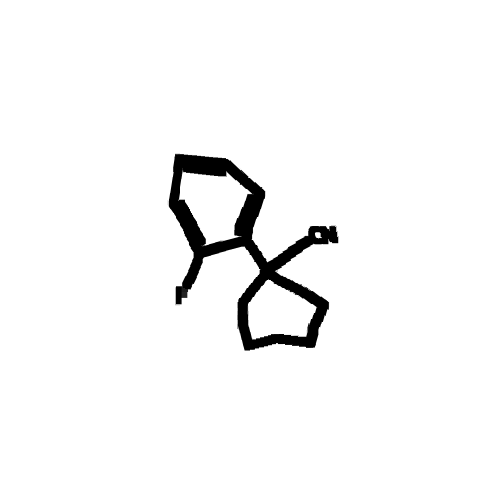 N#CC1(c2ccccc2F)CCCC1